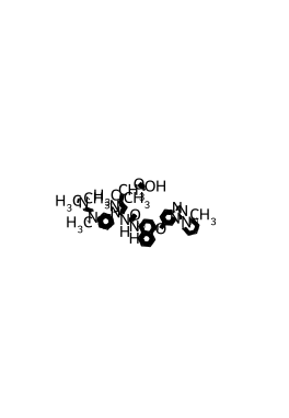 C[C@H]1CCCCN1c1nnc2ccc(O[C@@H]3CC[C@H](NC(=O)Nc4cc(C(C)(C)C)nn4-c4cccc(N(C)CCN(C)C)c4)c4ccccc43)cn12.O=CO